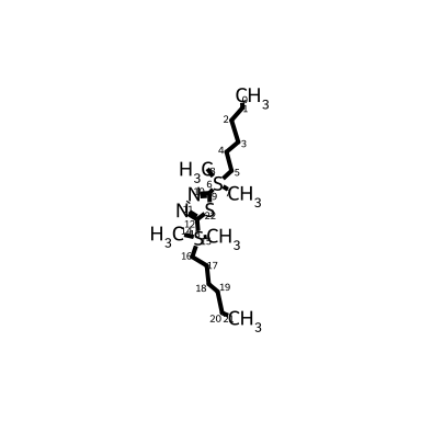 CCCCCCS(C)(C)c1nnc(S(C)(C)CCCCCC)s1